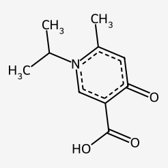 Cc1cc(=O)c(C(=O)O)cn1C(C)C